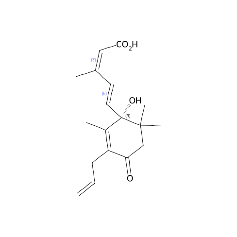 C=CCC1=C(C)[C@@](O)(/C=C/C(C)=C\C(=O)O)C(C)(C)CC1=O